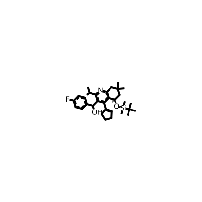 CC(C)c1nc2c(c(C3=CCCC3)c1C(O)c1ccc(F)cc1)[C@H](O[Si](C)(C)C(C)(C)C)CC(C)(C)C2